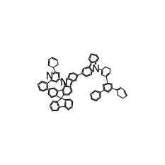 C1=CCCC(c2cc(C3=CCCC(n4c5ccccc5c5cc(-c6ccc7c(c6)c6ccc8c(c6n7-c6cc(-c7ccccc7)nc(C7C=CC=CC7)c6)-c6ccccc6C86c7ccccc7-c7ccccc76)ccc54)=C3)cc(-c3ccccc3)c2)=C1